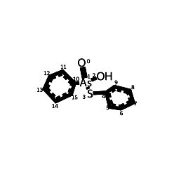 O=[As](O)(Sc1ccccc1)c1ccccc1